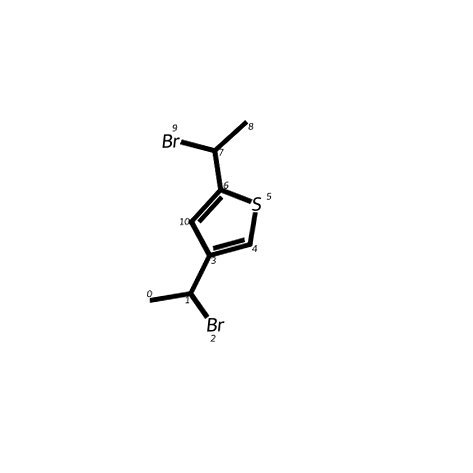 CC(Br)c1csc(C(C)Br)c1